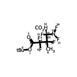 CC(C)(C)OC(=O)C(F)(F)C(C)(F)[C@@](F)(C(=O)O)N(F)F